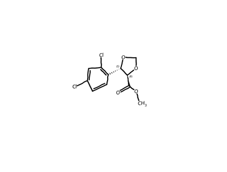 COC(=O)[C@@H]1OCO[C@H]1c1ccc(Cl)cc1Cl